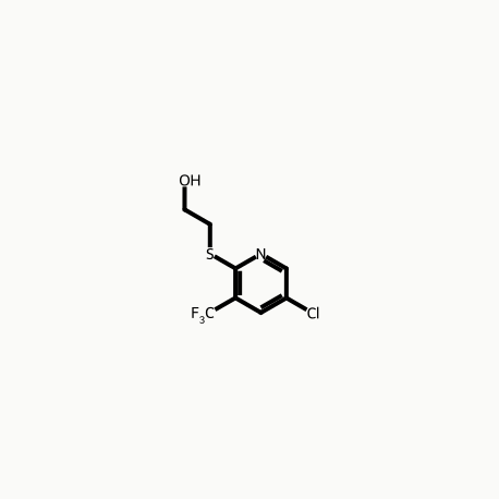 OCCSc1ncc(Cl)cc1C(F)(F)F